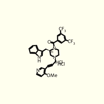 COc1ccncc1C#CCN1CCN(C(=O)c2cc(C(F)(F)F)cc(C(F)(F)F)c2)[C@H](Cc2c[nH]c3ccccc23)C1.Cl.Cl